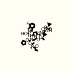 C=CC(=O)N(C)CC[C@H](NC(=O)OC1CCCC1)C(=O)N1C[C@H](C2c3cccc(F)c3CN2C(=O)O)C[C@H]1C(=O)N[C@]1(C(=O)NS(=O)(=O)C2CC2)C[C@H]1C=C